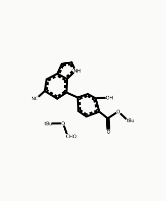 CC(C)(C)OC(=O)c1ccc(-c2cc(C#N)cc3cc[nH]c23)cc1O.CC(C)(C)OC=O